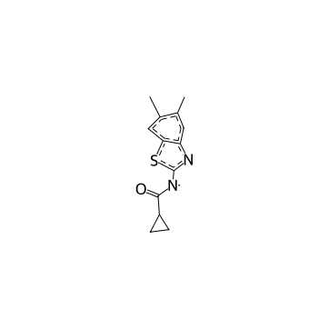 Cc1cc2nc([N]C(=O)C3CC3)sc2cc1C